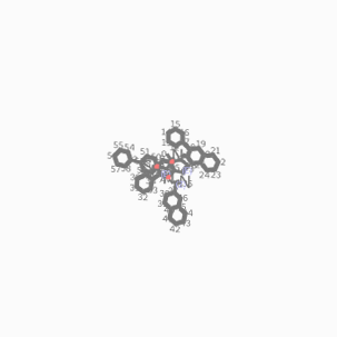 CC1C/C=C(c2cc3c(cc2-n2c4ccccc4c4cc5ccccc5cc42)sc2ccccc23)/N=C(c2ccc3ccccc3c2)\N=C/1c1ccc(-c2ccccc2)cc1